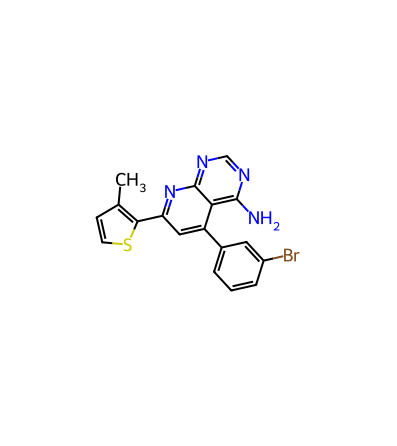 Cc1ccsc1-c1cc(-c2cccc(Br)c2)c2c(N)ncnc2n1